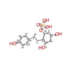 CC(Cc1c(O)cc(O)cc1OP(=O)(O)O)c1ccc(O)cc1